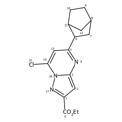 CCOC(=O)c1cc2nc(C3CC4CCC3C4)cc(Cl)n2n1